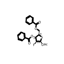 CC(=O)O[C@@H]1S[C@H](COC(=O)c2ccccc2)[C@@H](OC(=O)c2ccccc2)[C@@H]1F